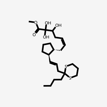 CCCCC1(C/C=C/[C@H]2CCC[C@@H]2C/C=C\CC(O)C(O)(O)C(=O)OC)SCCCS1